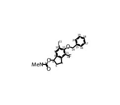 CNC(=O)OC1CCc2c1cc(I)c(OCc1ccccc1)c2F